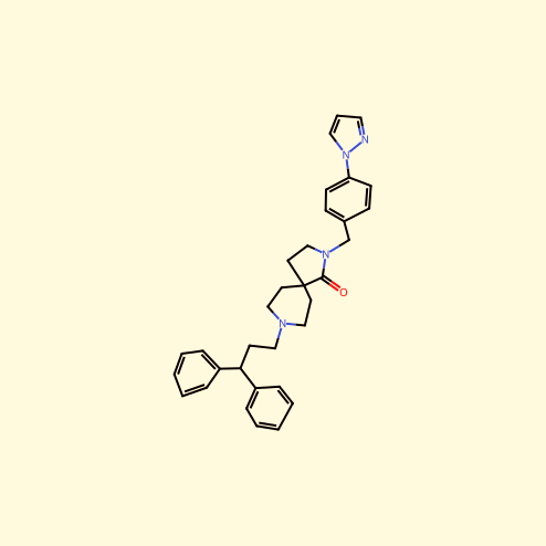 O=C1N(Cc2ccc(-n3cccn3)cc2)CCC12CCN(CCC(c1ccccc1)c1ccccc1)CC2